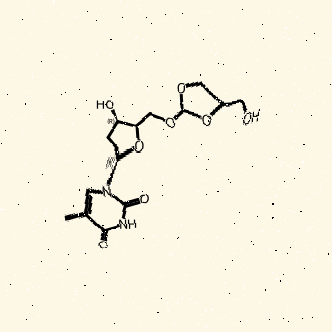 Cc1cn([C@H]2C[C@@H](O)C(COC3OCC(CO)O3)O2)c(=O)[nH]c1=O